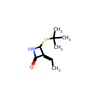 CC=C1C(=O)NC1SC(C)(C)C